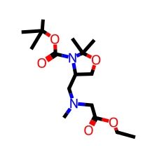 CCOC(=O)CN(C)CC1COC(C)(C)N1C(=O)OC(C)(C)C